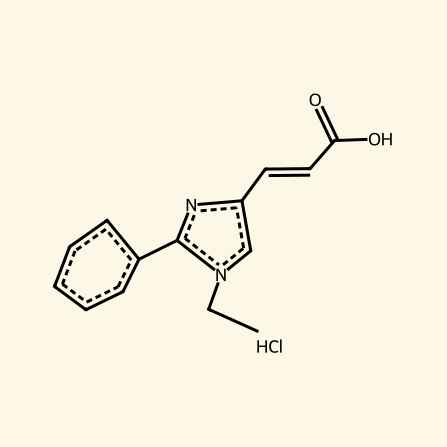 CCn1cc(C=CC(=O)O)nc1-c1ccccc1.Cl